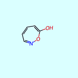 OC1=CC=CC=NO1